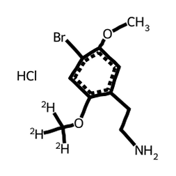 Cl.[2H]C([2H])([2H])Oc1cc(Br)c(OC)cc1CCN